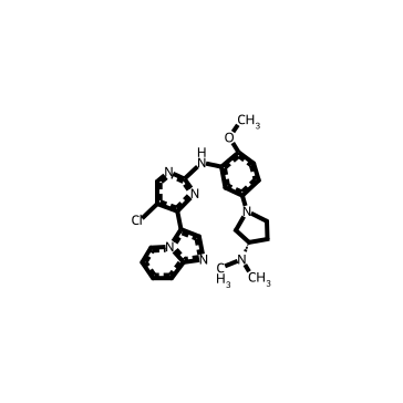 COc1ccc(N2CC[C@H](N(C)C)C2)cc1Nc1ncc(Cl)c(-c2cnc3ccccn23)n1